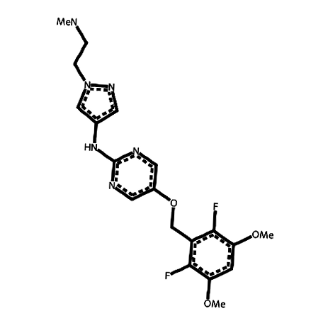 CNCCn1cc(Nc2ncc(OCc3c(F)c(OC)cc(OC)c3F)cn2)cn1